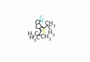 CC(C)c1sc(C(C)(C)C)c2c1C1C(CCC1(F)F)C2